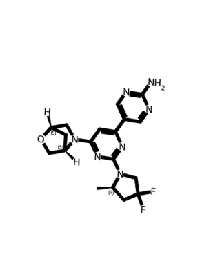 C[C@@H]1CC(F)(F)CN1c1nc(-c2cnc(N)nc2)cc(N2C[C@@H]3C[C@H]2CO3)n1